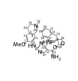 COc1cc2c(cc1Nc1ncc(C(N)=O)c(Nc3ccccc3CC3(F)COC3)n1)CN(C)CC2